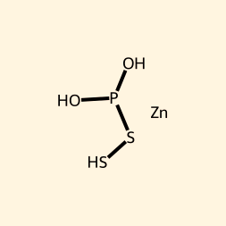 OP(O)SS.[Zn]